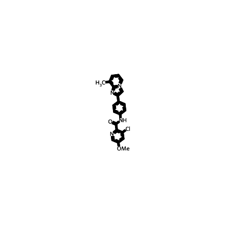 COc1cnc(C(=O)Nc2ccc(-c3cn4cccc(C)c4n3)cc2)c(Cl)c1